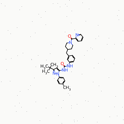 Cc1ccc(-n2nc(C(C)(C)C)cc2NC(=O)Nc2cccc(CC3CCN(C(=O)c4ccccn4)CC3)c2)cc1